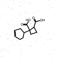 O=C(O)C1CCC1(C(=O)O)C1CC=CCC1